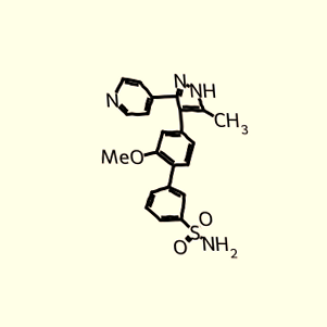 COc1cc(-c2c(-c3ccncc3)n[nH]c2C)ccc1-c1cccc(S(N)(=O)=O)c1